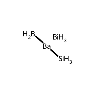 [BH2][Ba][SiH3].[BiH3]